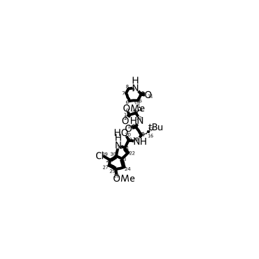 COC(=O)[C@H](C[C@@H]1CCCNC1=O)NC(=O)[C@H](CC(C)(C)C)NC(O)c1cc2cc(OC)cc(Cl)c2[nH]1